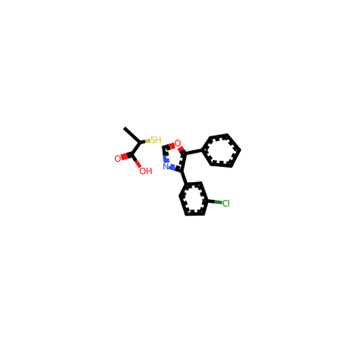 CC(S)C(=O)O.Clc1cccc(-c2ncoc2-c2ccccc2)c1